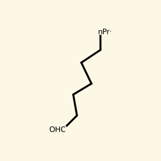 CC[CH]CCCCCC=O